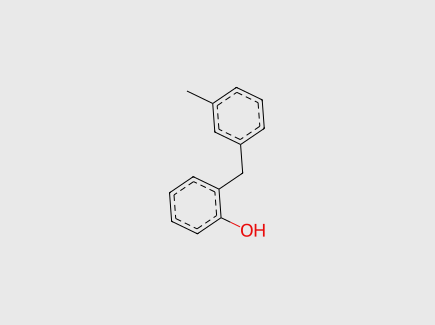 Cc1cccc(Cc2ccccc2O)c1